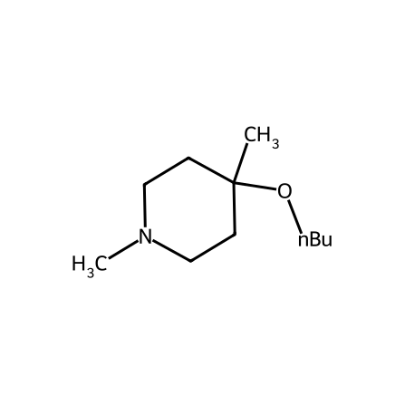 CCCCOC1(C)CCN(C)CC1